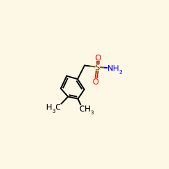 Cc1ccc(CS(N)(=O)=O)cc1C